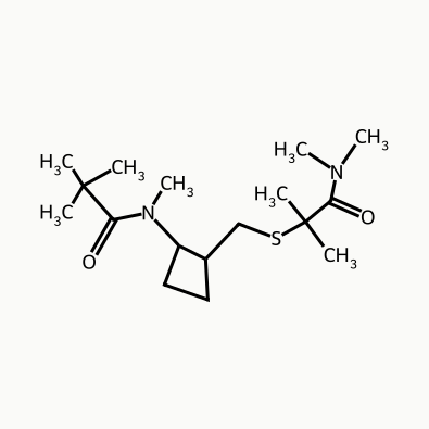 CN(C)C(=O)C(C)(C)SCC1CCC1N(C)C(=O)C(C)(C)C